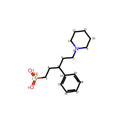 O=[SH](=O)CCC(CCN1CCCCC1)c1ccccc1